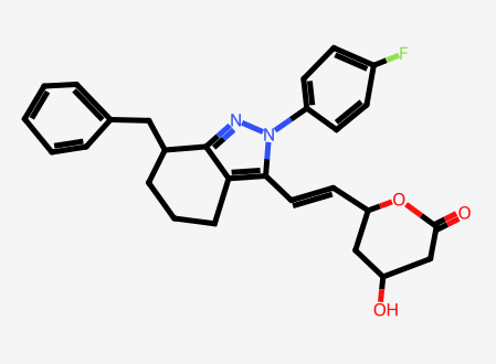 O=C1CC(O)CC(C=Cc2c3c(nn2-c2ccc(F)cc2)C(Cc2ccccc2)CCC3)O1